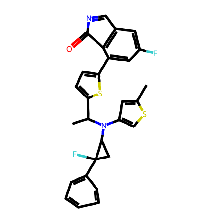 Cc1cc(N(C(C)c2ccc(-c3cc(F)cc4c3C(=O)N=C4)s2)C2CC2(F)c2ccccc2)cs1